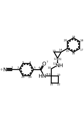 N#Cc1ccc(C(=O)NC2(CN[C@H]3CC3c3ccccc3)CCC2)cc1